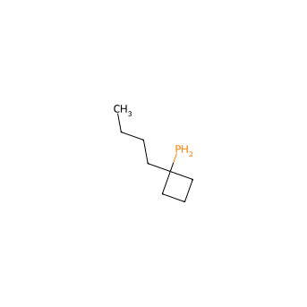 CCCCC1(P)CCC1